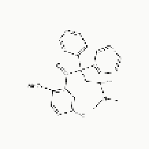 COc1ccc(F)cc1C(=O)C(C[C@H](C)N(C)C)(c1ccccc1)c1ccccc1